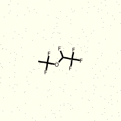 CC(F)(F)OC(F)C(F)(F)F